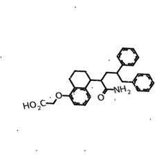 NC(=O)C(CC(Cc1ccccc1)c1ccccc1)C1CCCc2c(OCC(=O)O)cccc21